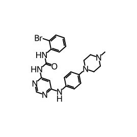 CN1CCN(c2ccc(Nc3cc(NC(=O)Nc4ccccc4Br)ncn3)cc2)CC1